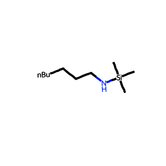 CCCCCCCN[Si](C)(C)C